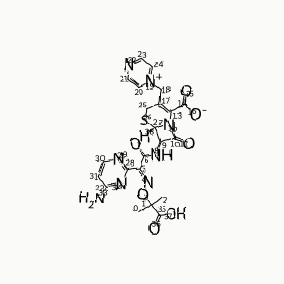 CC(C)(ON=C(C(=O)NC1C(=O)N2C(C(=O)[O-])=C(C[n+]3ccncc3)CS[C@@H]12)c1nccc(N)n1)C(=O)O